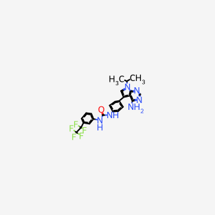 CC(C)n1cc(-c2ccc(NC(=O)Nc3cccc(C(F)(F)C(F)(F)F)c3)cc2)c2c(N)ncnc21